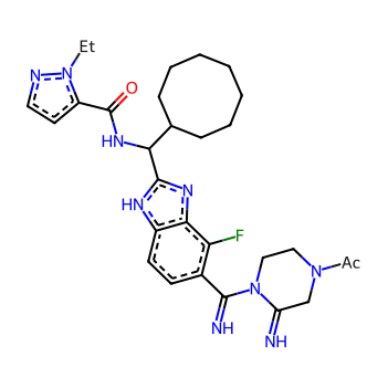 CCn1nccc1C(=O)NC(c1nc2c(F)c(C(=N)N3CCN(C(C)=O)CC3=N)ccc2[nH]1)C1CCCCCCC1